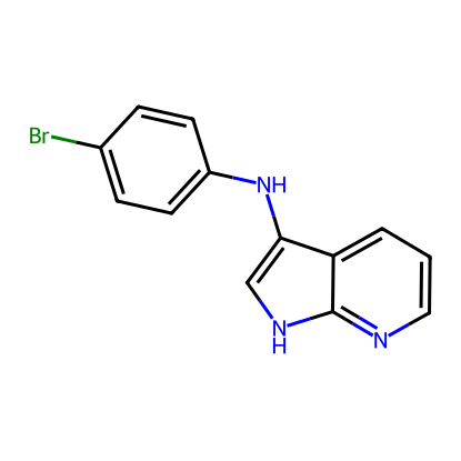 Brc1ccc(Nc2c[nH]c3ncccc23)cc1